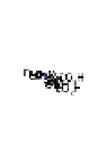 CCOc1ccc(/C=C2\SC(=O)N(C(CNC(=O)O)CNC(=O)O)C2=O)cc1